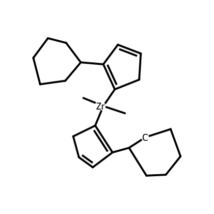 [CH3][Zr]([CH3])([C]1=C(C2CCCCC2)C=CC1)[C]1=C(C2CCCCC2)C=CC1